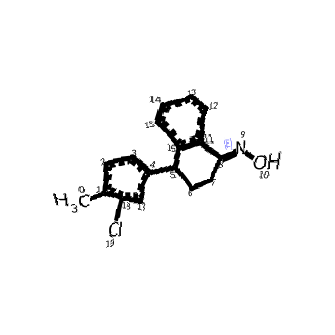 Cc1ccc(C2CC/C(=N\O)c3ccccc32)cc1Cl